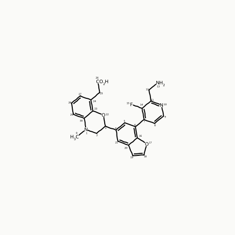 CN1CC(c2cc(-c3ccnc(CN)c3F)c3occc3c2)Oc2c(CC(=O)O)cccc21